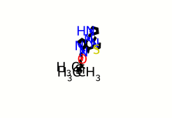 C[Si](C)(C)CCOCn1cc(-c2nccs2)c2c(N3CC[C@]4(CCCN4)C3)ccnc21